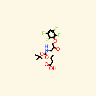 CC(C)(C)OC(=O)N[C@@H](CCCC(=O)O)C(=O)COc1c(F)c(F)cc(F)c1F